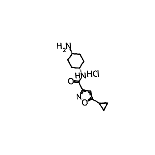 Cl.N[C@H]1CC[C@H](NC(=O)c2cc(C3CC3)on2)CC1